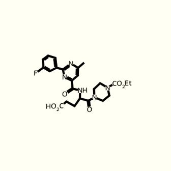 CCOC(=O)N1CCN(C(=O)C(CCC(=O)O)NC(=O)c2cc(C)nc(-c3cccc(F)c3)n2)CC1